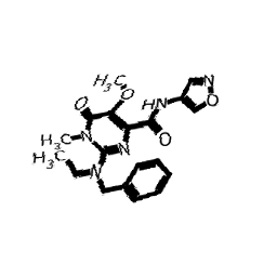 CCN(Cc1ccccc1)c1nc(C(=O)Nc2cnoc2)c(OC)c(=O)n1C